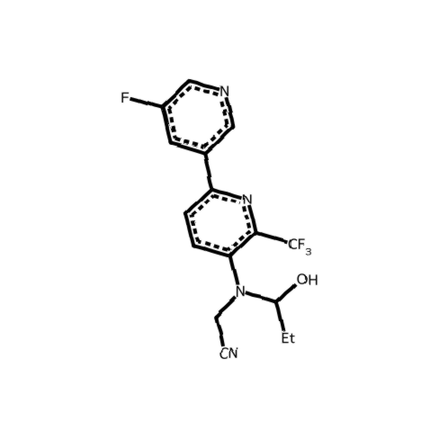 CCC(O)N(CC#N)c1ccc(-c2cncc(F)c2)nc1C(F)(F)F